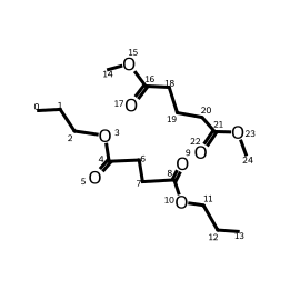 CCCOC(=O)CCC(=O)OCCC.COC(=O)CCCC(=O)OC